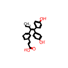 CCCC(=C(c1ccc(O)cc1)c1ccc(O)cc1)c1cccc(C=CC(=O)O)c1